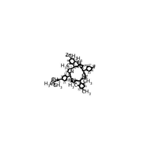 Cc1cc(C)c(-c2c3nc(c(-c4ccc(C#C[Si](C)(C)C)cc4)c4ccc([nH]4)c(-c4c(C)cc(C)cc4C)c4nc(c(-c5ccc(I)cc5)c5ccc2[nH]5)C=C4)C=C3)c(C)c1.[Zn]